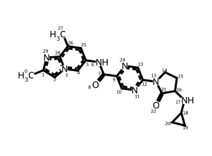 Cc1cn2cc(NC(=O)c3cnc(N4CCC(NC5CC5)C4=O)cn3)cc(C)c2n1